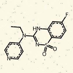 CCN(C1=NS(=O)(=O)c2ccc(F)cc2N1)c1ccncc1